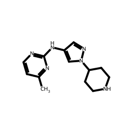 Cc1ccnc(Nc2cnn(C3CCNCC3)c2)n1